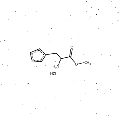 COC(=O)C(N)Cc1ccsc1.Cl